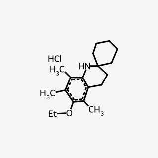 CCOc1c(C)c(C)c2c(c1C)CCC1(CCCCC1)N2.Cl